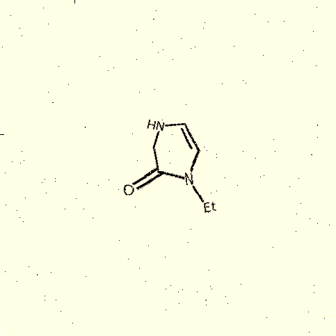 [CH2]Cn1cc[nH]c1=O